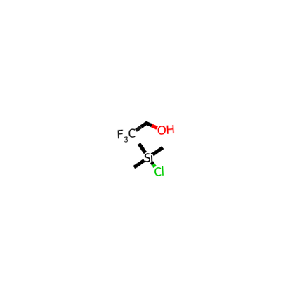 C[Si](C)(C)Cl.OCC(F)(F)F